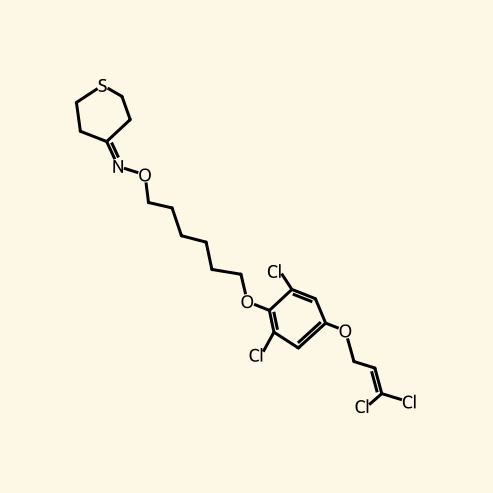 ClC(Cl)=CCOc1cc(Cl)c(OCCCCCCON=C2CCSCC2)c(Cl)c1